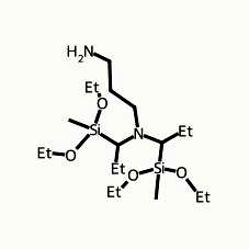 CCO[Si](C)(OCC)C(CC)N(CCCN)C(CC)[Si](C)(OCC)OCC